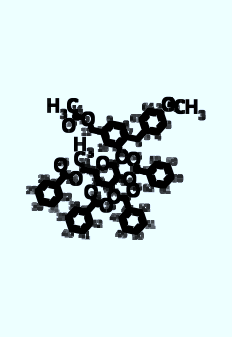 COc1ccc(Cc2ccc(COC(C)=O)cc2O[C@@H]2O[C@H]([C@@H](C)OC(=O)c3ccccc3)[C@@H](OC(=O)c3ccccc3)[C@H](OC(=O)c3ccccc3)[C@H]2OC(=O)c2ccccc2)cc1